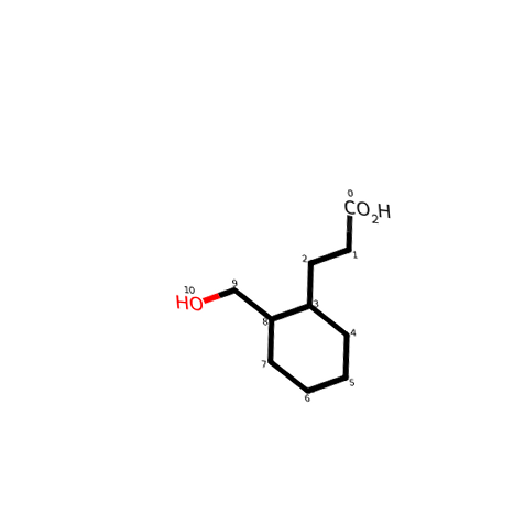 O=C(O)CCC1CC[CH]CC1CO